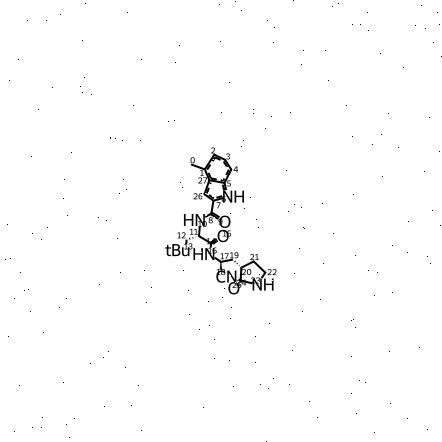 Cc1cccc2[nH]c(C(=O)N[C@@H](CC(C)(C)C)C(=O)N[C@H](C#N)C[C@@H]3CCNC3=O)cc12